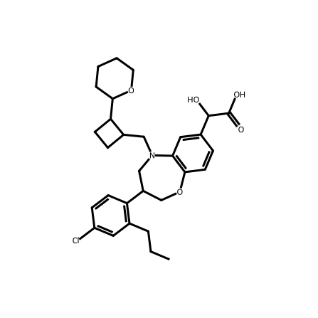 CCCc1cc(Cl)ccc1C1COc2ccc(C(O)C(=O)O)cc2N(CC2CCC2C2CCCCO2)C1